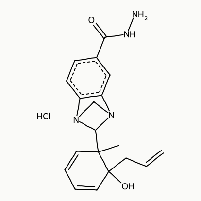 C=CCC1(O)C=CC=CC1(C)C1N2CN1c1cc(C(=O)NN)ccc12.Cl